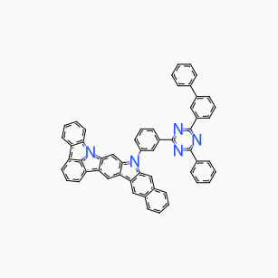 c1ccc(-c2cccc(-c3nc(-c4ccccc4)nc(-c4cccc(-n5c6cc7ccccc7cc6c6cc7c8cccc9c%10ccccc%10n(c7cc65)c98)c4)n3)c2)cc1